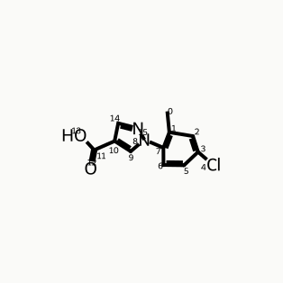 Cc1cc(Cl)ccc1-n1cc(C(=O)O)cn1